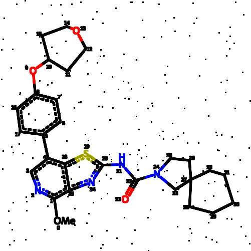 COc1ncc(-c2ccc(OC3CCOCC3)cc2)c2sc(NC(=O)N3CCC4(CCCCC4)C3)nc12